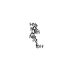 Cc1c(Nc2c(C#N)cnc3sc(/C=C/CCO)cc23)ccc2[nH]ccc12